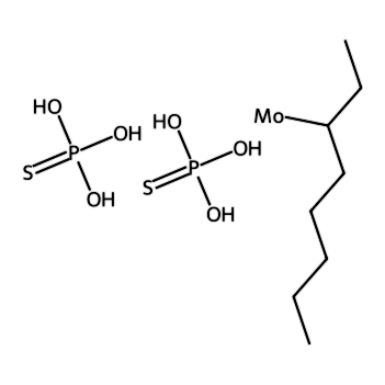 CCCCC[CH]([Mo])CC.OP(O)(O)=S.OP(O)(O)=S